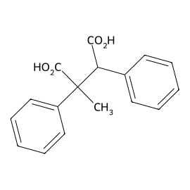 CC(C(=O)O)(c1ccccc1)C(C(=O)O)c1ccccc1